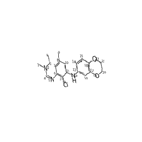 CCN(C)/C=N\c1cc(C)cc(Nc2ccc3c(c2)OCCO3)c1Cl